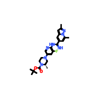 Cc1cc2cc(C(=N)Nc3ncc(N4CCN(C(=O)OC(C)(C)C)[C@@H](C)C4)cc3F)cc(C)n2n1